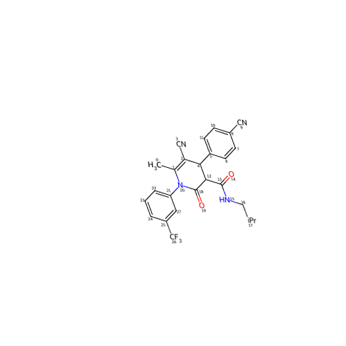 CC1=C(C#N)C(c2ccc(C#N)cc2)C(C(=O)NCC(C)C)C(=O)N1c1cccc(C(F)(F)F)c1